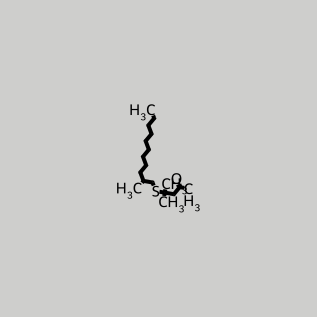 CCCCCCCCCC(C)CSC(C)(C)CC(C)=O